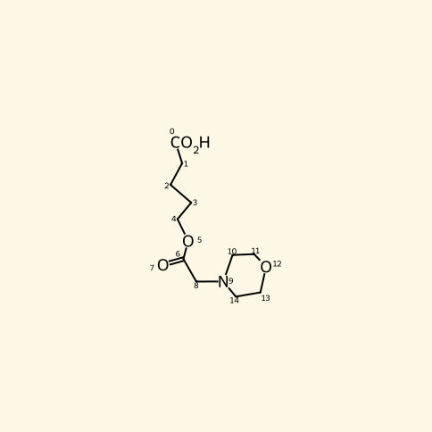 O=C(O)CCCCOC(=O)CN1CCOCC1